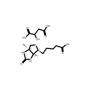 O=C(O)CC(O)C(=O)O.O=C(O)CCCC[C@@H]1SC[C@@H]2NC(=O)N[C@@H]21